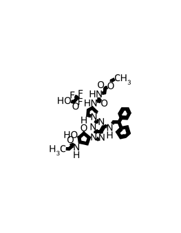 CCOC(=O)CNC(=O)N[C@@H]1CCN(c2nc(NCC(c3ccccc3)c3ccccc3)c3ncn([C@@H]4C[C@H](NC(=O)CC)[C@@H](O)[C@H]4O)c3n2)C1.O=C(O)C(F)(F)F